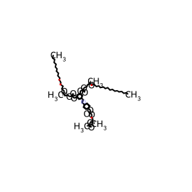 CCCCCCCCCCCCCCCCO[C@H](C)CCOC(=O)Oc1cc(/C=C/c2ccc(OC(=O)OCC[C@@H](C)OC(C)=O)cc2)cc(OC(=O)OCC[C@@H](C)OCCCCCCCCCCCCCCCC)c1